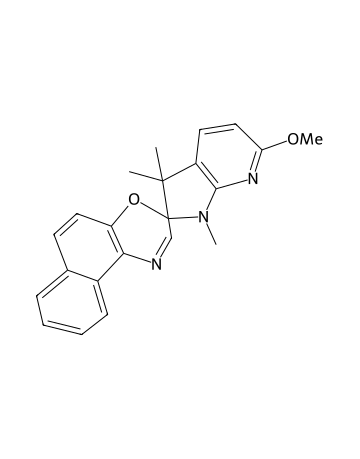 COc1ccc2c(n1)N(C)C1(C=Nc3c(ccc4ccccc34)O1)C2(C)C